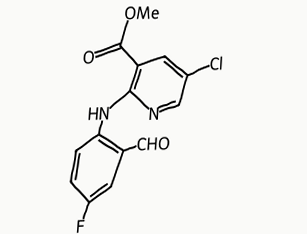 COC(=O)c1cc(Cl)cnc1Nc1ccc(F)cc1C=O